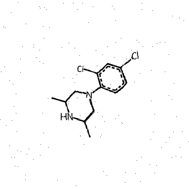 CC1CN(c2ccc(Cl)cc2Cl)CC(C)N1